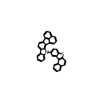 c1cc2c3c(cccc3c1)-c1c-2ccc2c3ccccc3n(-c3ccc4sc5ccc6ccccc6c5c4c3)c12